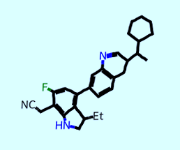 CCC1CNc2c(CC#N)c(F)cc(-c3ccc4c(c3)N=CC(C(C)C3CCCCC3)C4)c21